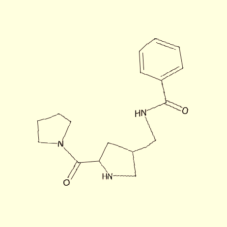 O=C(NCC1CNC(C(=O)N2CCCC2)C1)c1ccccc1